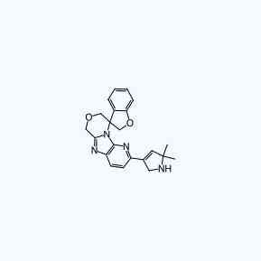 CC1(C)C=C(c2ccc3nc4n(c3n2)C2(COC4)COc3ccccc32)CN1